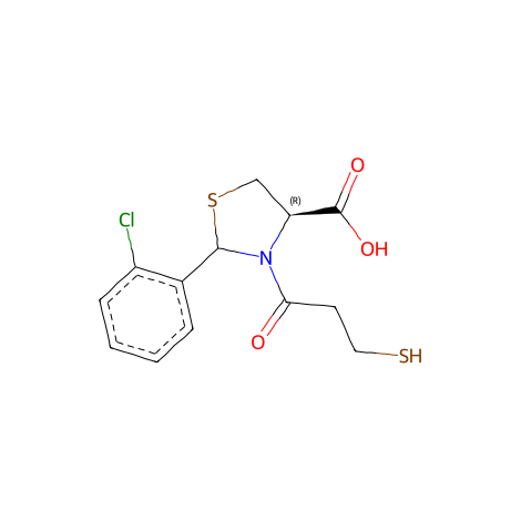 O=C(O)[C@@H]1CSC(c2ccccc2Cl)N1C(=O)CCS